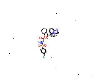 CNC(=S)C1(c2ccc3nccn3c2)CCCCC1OC(=O)CNS(=O)(=O)c1ccc(F)cc1